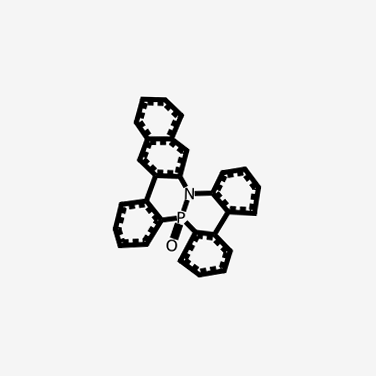 O=P12c3ccccc3-c3ccccc3N1c1cc3ccccc3cc1-c1ccccc12